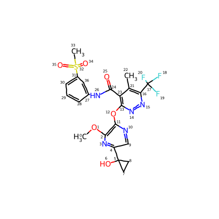 COc1nc(C2(O)CC2)cnc1Oc1nnc(C(F)(F)F)c(C)c1C(=O)Nc1cccc(S(C)(=O)=O)c1